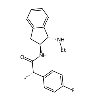 CCN[C@H]1c2ccccc2C[C@@H]1NC(=O)[C@@H](C)c1ccc(F)cc1